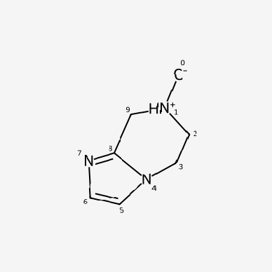 [CH2-][NH+]1CCn2ccnc2C1